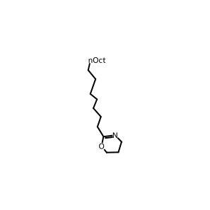 CCCCCCCCCCCCCCCC1=NCCCO1